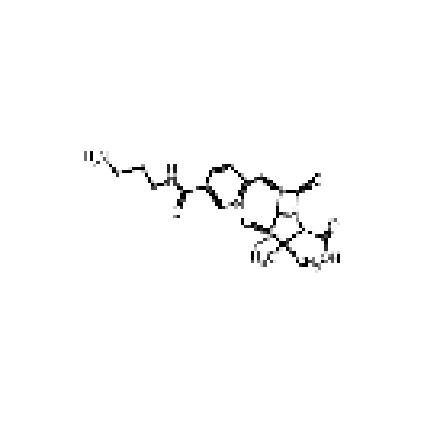 CC1(C)[C@H](C(=O)O)N2C(=O)/C(=C/c3ccc(C(=O)NCCCN)cn3)C2S1(=O)=O